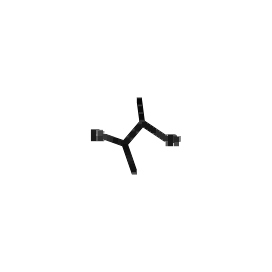 [CH2]C(C)C(C)C(C)CC